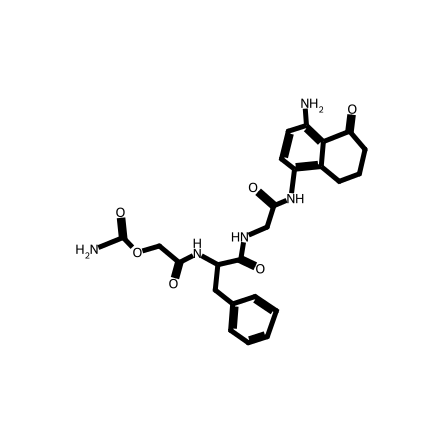 NC(=O)OCC(=O)NC(Cc1ccccc1)C(=O)NCC(=O)Nc1ccc(N)c2c1CCCC2=O